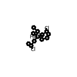 Clc1cc(-c2ccc(C3=CC(c4ccc(-c5cc(Cl)cc6ccccc56)cc4)(c4cccc(-c5ccccc5)c4)NC(c4ccccc4)(c4cccc(-c5ccccc5)c4)N3)cc2)c2ccccc2c1